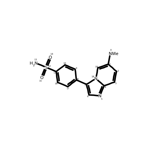 CNc1ccc2ncc(-c3ccc(S(N)(=O)=O)cc3)n2c1